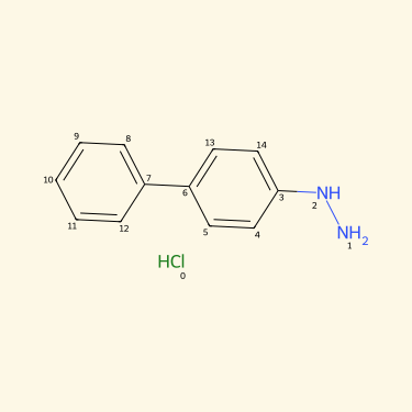 Cl.NNc1ccc(-c2ccccc2)cc1